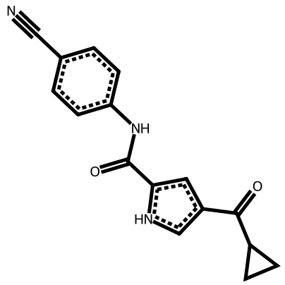 N#Cc1ccc(NC(=O)c2cc(C(=O)C3CC3)c[nH]2)cc1